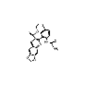 CCOC(=O)c1cc2cc3c(cc2nc1-c1cc(Cl)ccc1NC(N)=O)OCO3